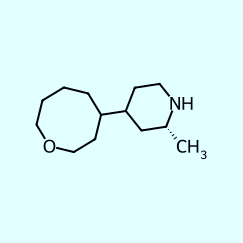 C[C@@H]1CC(C2CCCCOCC2)CCN1